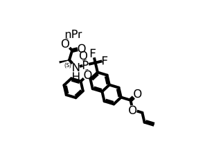 C=CCOC(=O)c1ccc2ccc(C(F)(F)P(=O)(N[C@@H](C)C(=O)OCCC)Oc3ccccc3)cc2c1